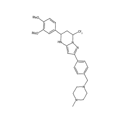 COc1ccc(C2CC(C(F)(F)F)n3nc(-c4ccc(CN5CCN(C)CC5)cc4)cc3N2)cc1OC